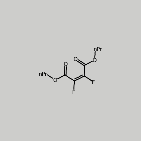 CCCOC(=O)/C(F)=C(/F)C(=O)OCCC